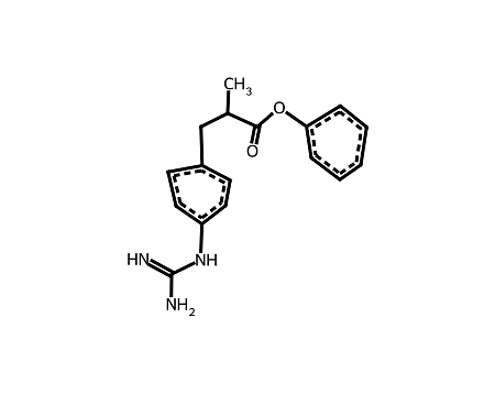 CC(Cc1ccc(NC(=N)N)cc1)C(=O)Oc1ccccc1